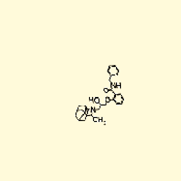 CC(NCC(O)COc1ccccc1C(=O)NCc1ccccc1)C12CC3CC(CC(C3)C1)C2